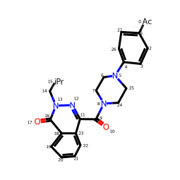 CC(=O)c1ccc(N2CCN(C(=O)c3nn(CC(C)C)c(=O)c4ccccc34)CC2)cc1